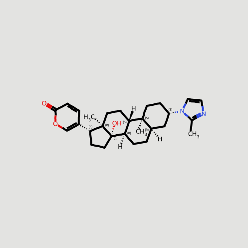 Cc1nccn1[C@H]1CC[C@@]2(C)[C@H](CC[C@@H]3[C@@H]2CC[C@]2(C)[C@@H](c4ccc(=O)oc4)CC[C@]32O)C1